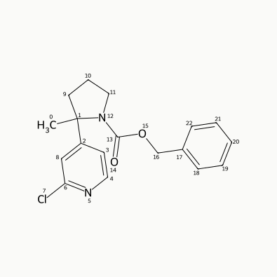 CC1(c2ccnc(Cl)c2)CCCN1C(=O)OCc1ccccc1